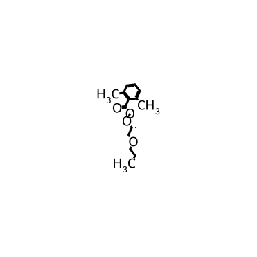 CCCOC[CH]OOC(=O)c1c(C)cccc1C